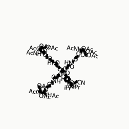 CC(=O)NC1C(OCCOCCNC(=O)CCOCC(COCCC(=O)NCCOCCOC2OC(COC(C)=O)C(OC(C)=O)C(OC(C)=O)C2NC(C)=O)(COCCC(=O)NCCOCCOC2OC(COC(C)=O)C(OC(C)=O)C(OC(C)=O)C2NC(C)=O)NC(=O)C2CCC(OP(OCCC#N)N(C(C)C)C(C)C)CC2)OC(COC(C)=O)C(OC(C)=O)C1OC(C)=O